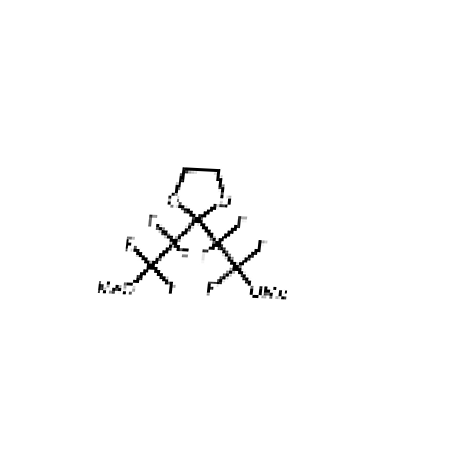 COC(F)(F)C(F)(F)C1(C(F)(F)C(F)(F)OC)OCCO1